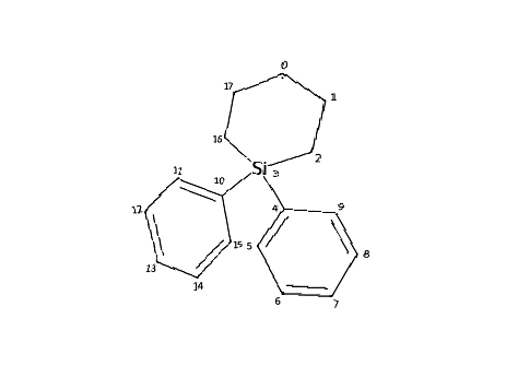 [CH]1CC[Si](c2ccccc2)(c2ccccc2)CC1